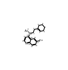 CC(=O)N(CCC1=CCCCC1)c1ccnc2ccc(F)cc12